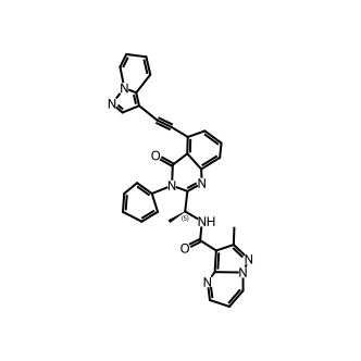 Cc1nn2cccnc2c1C(=O)N[C@@H](C)c1nc2cccc(C#Cc3cnn4ccccc34)c2c(=O)n1-c1ccccc1